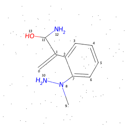 C=C(c1ccccc1N(C)N)C(N)O